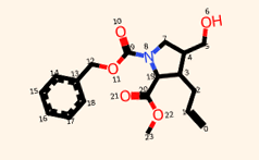 C=CCC1C(CO)CN(C(=O)OCc2ccccc2)C1C(=O)OC